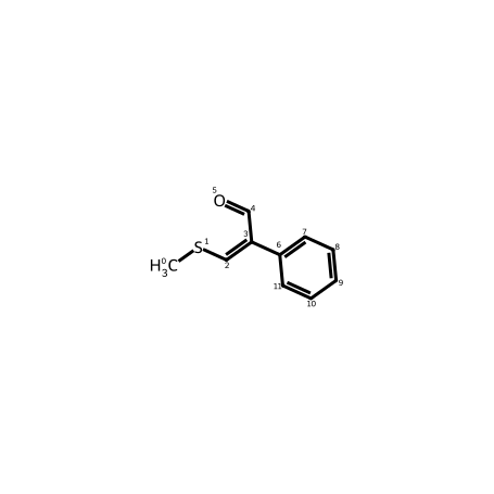 CSC=C(C=O)c1ccccc1